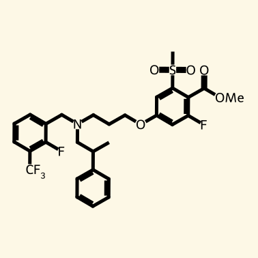 COC(=O)c1c(F)cc(OCCCN(Cc2cccc(C(F)(F)F)c2F)CC(C)c2ccccc2)cc1S(C)(=O)=O